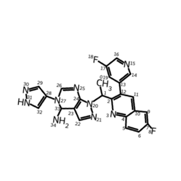 CC(c1nc2ccc(F)cc2cc1-c1cncc(F)c1)n1ncc2c1N=CN(c1cn[nH]c1)C2N